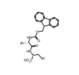 CC(C)C[C@H](NC(=O)[C@@H](NC(=O)OCC1c2ccccc2-c2ccccc21)C(C)C)C(=O)O